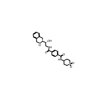 O=C(NC[C@@H](O)[C@@H]1Cc2ccccc2CN1)c1ccc(C(=O)NC2CCS(=O)(=O)CC2)cc1